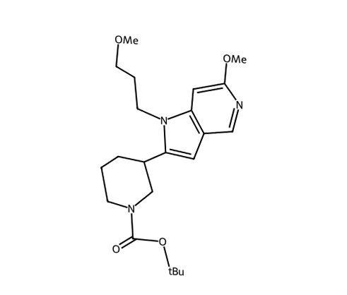 COCCCn1c(C2CCCN(C(=O)OC(C)(C)C)C2)cc2cnc(OC)cc21